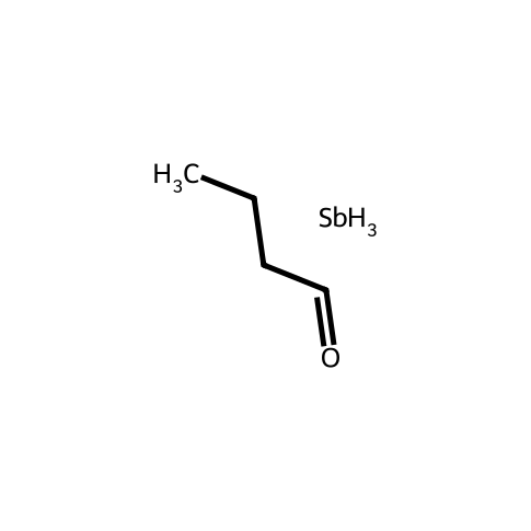 CCCC=O.[SbH3]